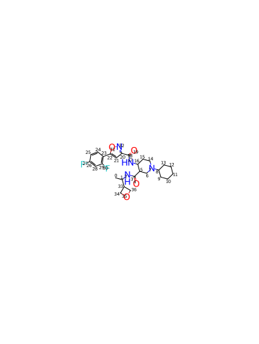 CC(NC(=O)C1CN(C2CCCCC2)CCC1NC(=O)c1cc(-c2ccc(F)cc2F)on1)C1COC1